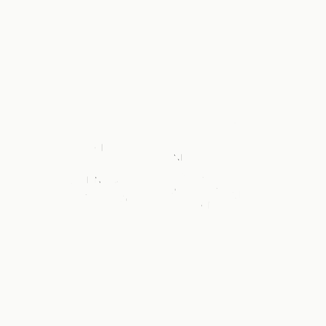 C#CC1(NC(=O)c2cc(NC(=O)C3C(c4ccc(C)c(C)c4)C3(Cl)Cl)ccc2Cl)CCC1